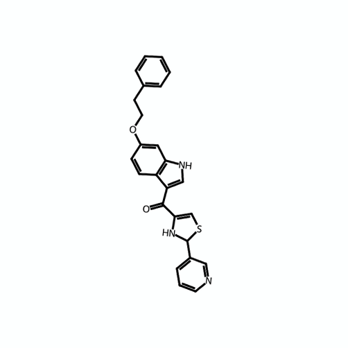 O=C(C1=CSC(c2cccnc2)N1)c1c[nH]c2cc(OCCc3ccccc3)ccc12